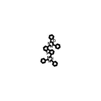 c1ccc(-c2nc(-c3ccccc3)nc(-c3cccc4c3sc3cccc(-c5nc(-c6ccccc6)c6oc7ccccc7c6n5)c34)n2)cc1